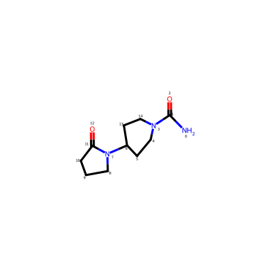 NC(=O)N1CCC(N2CCCC2=O)CC1